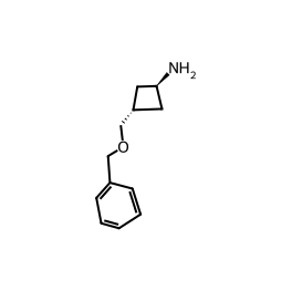 N[C@H]1C[C@H](COCc2ccccc2)C1